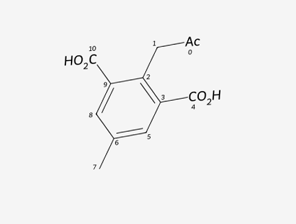 CC(=O)Cc1c(C(=O)O)cc(C)cc1C(=O)O